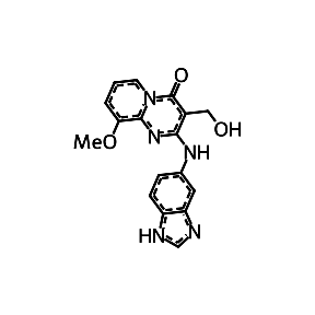 COc1cccn2c(=O)c(CO)c(Nc3ccc4[nH]cnc4c3)nc12